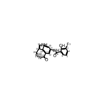 Cc1c(F)cccc1C(=O)Nc1cc2c3c(c[nH]c3c1)C=NNC2=O